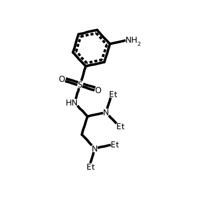 CCN(CC)CC(NS(=O)(=O)c1cccc(N)c1)N(CC)CC